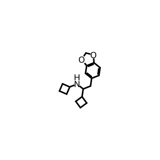 c1cc2c(cc1CC(NC1CCC1)C1CCC1)OCO2